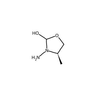 C[C@@H]1COC(O)N1N